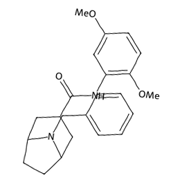 COc1ccc(OC)c(NC(=O)C2CC3CCC(C2)N3Cc2ccccc2)c1